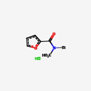 CCN(C(=O)O)C(=O)c1ccco1.Cl